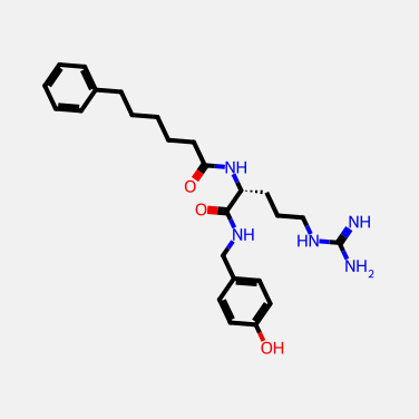 N=C(N)NCCC[C@@H](NC(=O)CCCCCc1ccccc1)C(=O)NCc1ccc(O)cc1